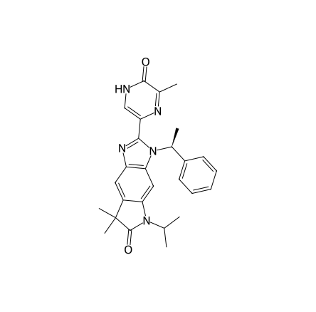 Cc1nc(-c2nc3cc4c(cc3n2[C@@H](C)c2ccccc2)N(C(C)C)C(=O)C4(C)C)c[nH]c1=O